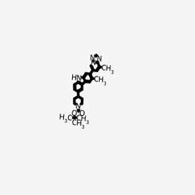 Cc1cc2c(cc1-c1cc(C)c3ncnn3c1)[nH]c1ccc(C3CCN(C(=O)OC(C)(C)C)CC3)cc12